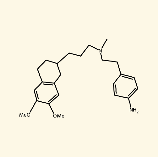 COc1cc2c(cc1OC)CC(CCCN(C)CCc1ccc(N)cc1)CC2